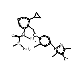 CCc1c(C)nn(-c2ccc(OCc3c(C4CC4)cccc3N(N)C(=O)N(C)N)c(C)c2)c1C